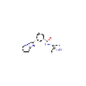 O=C(NC1C2CNC[C@@H]21)c1cccc(-c2cn3ccccc3n2)c1